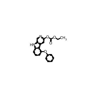 CCOC(=O)Oc1cc2c(cn1)[nH]c1cccc(Oc3ccccc3)c12